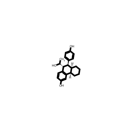 CC(O)[C@H]1c2ccc(O)cc2[C@@H]2CCCC[C@@H]2[C@@H]1c1ccc(O)cc1